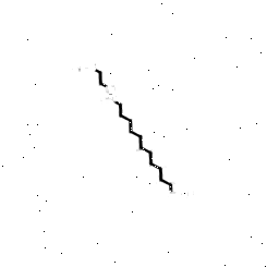 O=CCCPNCCCCCCCCCCCC(=O)O